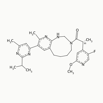 COc1cc([C@@H](C)C(=O)N2CCCCc3cc(-c4cc(C)nc(C(C)C)n4)c(C)nc3NC2)c(F)cn1